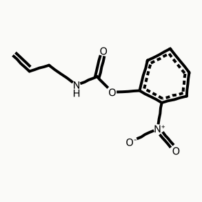 C=CCNC(=O)Oc1ccccc1[N+](=O)[O-]